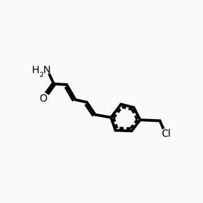 NC(=O)C=CC=Cc1ccc(CCl)cc1